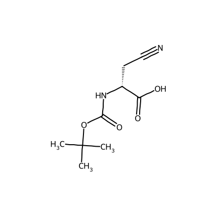 CC(C)(C)OC(=O)N[C@H](CC#N)C(=O)O